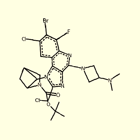 CN(C)C1CN(c2nc3c(F)c(Br)c(Cl)cc3c3c2nc(CCl)n3C2C3CC2N(C(=O)OC(C)(C)C)C3)C1